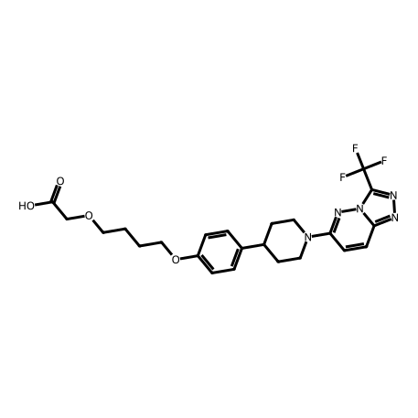 O=C(O)COCCCCOc1ccc(C2CCN(c3ccc4nnc(C(F)(F)F)n4n3)CC2)cc1